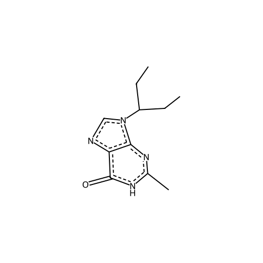 CCC(CC)n1cnc2c(=O)[nH]c(C)nc21